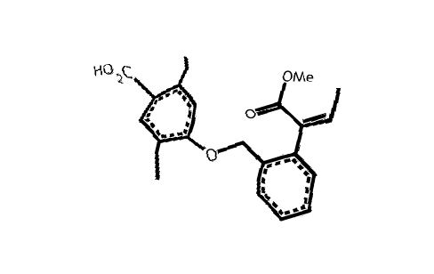 CC=C(C(=O)OC)c1ccccc1COc1cc(C)c(C(=O)O)cc1C